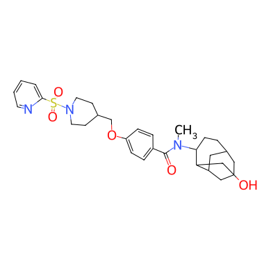 CN(C(=O)c1ccc(OCC2CCN(S(=O)(=O)c3ccccn3)CC2)cc1)C1CCC2CC3CC(O)(C2)CC31